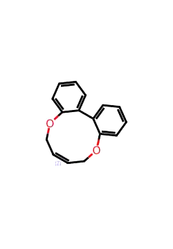 C1=C\COc2ccccc2-c2ccccc2OC/1